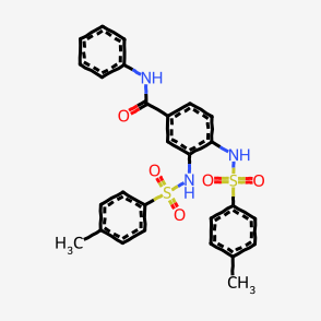 Cc1ccc(S(=O)(=O)Nc2ccc(C(=O)Nc3ccccc3)cc2NS(=O)(=O)c2ccc(C)cc2)cc1